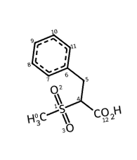 CS(=O)(=O)C(Cc1ccccc1)C(=O)O